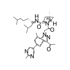 CC(=O)c1nn(CC(=O)N2[C@H](C(=O)N[C@@H](CCCC(C)C)CC(C)C)C[C@@]3(C)C[C@@H]23)c2c(C)cc(-c3cnc(C)nc3)cc12